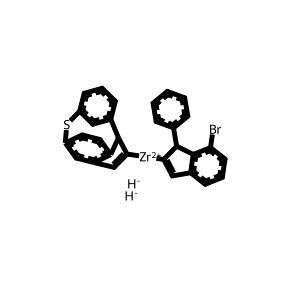 Brc1cccc2c1C(c1ccccc1)[C]([Zr+2][C]1=Cc3cc4ccc3C1c1cccc(c1)S4)=C2.[H-].[H-]